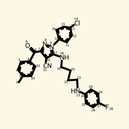 Cc1ccc(C(=O)c2nn(-c3ccc(Cl)cc3)c(NCCCCNc3ccc(F)cc3)c2C#N)cc1